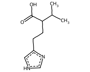 CC(C)C(CCc1c[nH]cn1)C(=O)O